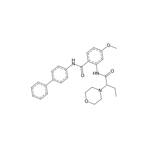 CCC(C(=O)Nc1cc(OC)ccc1C(=O)Nc1ccc(-c2ccccc2)cc1)N1CCOCC1